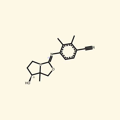 Cc1c(C#N)ccc(/N=C2\OCC3(C)[C@@H](O)CCN23)c1C